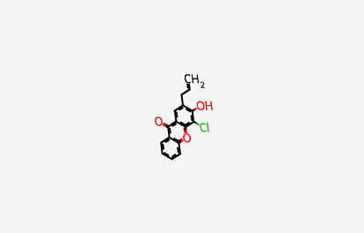 C=CCc1cc2c(=O)c3ccccc3oc2c(Cl)c1O